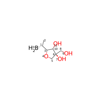 B[C@H](C)C1OC[C@@](O)(CO)C1O